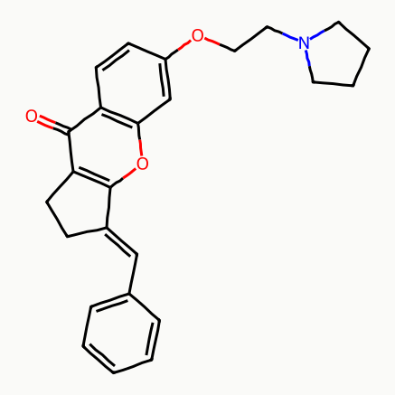 O=c1c2c(oc3cc(OCCN4CCCC4)ccc13)C(=Cc1ccccc1)CC2